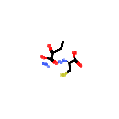 CCC(=O)C(=O)O.N.N[C@@H](CS)C(=O)O